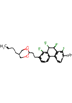 C=CCCC1COC(CCc2ccc3c(c2F)C(F)C(F)c2c-3ccc(CCC)c2F)OC1